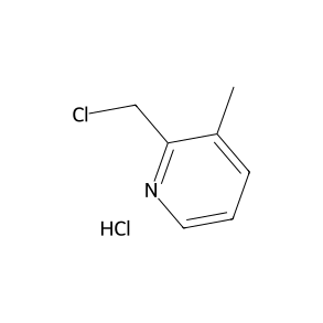 Cc1cccnc1CCl.Cl